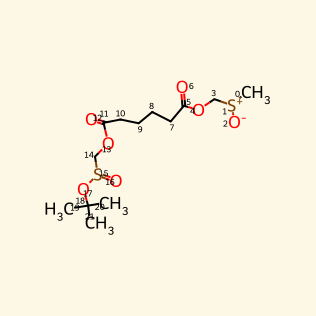 C[S+]([O-])COC(=O)CCCCC(=O)OCS(=O)OC(C)(C)C